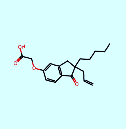 C=CCC1(CCCCC)Cc2cc(OCC(=O)O)ccc2C1=O